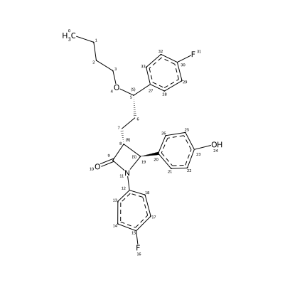 CCCCO[C@@H](CC[C@H]1C(=O)N(c2ccc(F)cc2)[C@@H]1c1ccc(O)cc1)c1ccc(F)cc1